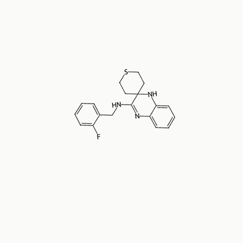 Fc1ccccc1CNC1=Nc2ccccc2NC12CCSCC2